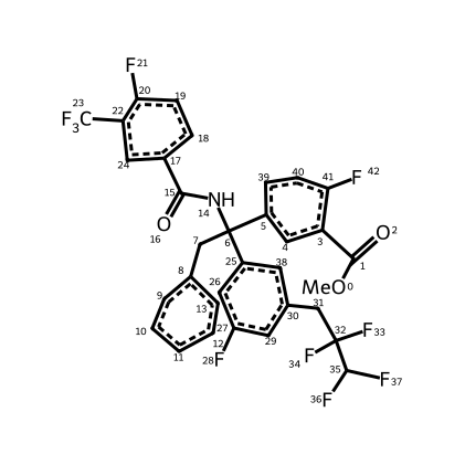 COC(=O)c1cc(C(Cc2ccccc2)(NC(=O)c2ccc(F)c(C(F)(F)F)c2)c2cc(F)cc(CC(F)(F)C(F)F)c2)ccc1F